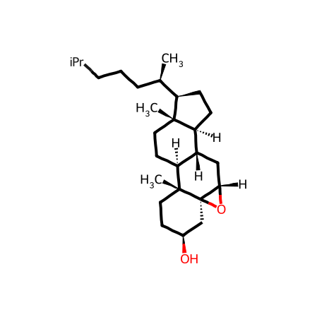 CC(C)CCC[C@@H](C)[C@H]1CC[C@H]2[C@@H]3C[C@@H]4O[C@]45C[C@@H](O)CC[C@]5(C)[C@H]3CC[C@]12C